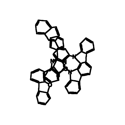 c1ccc(-c2nc(-c3cccc4c3oc3ccccc34)nc(-n3c4ccccc4c4ccc5c6ccccc6n(-c6cc(-c7ccc8ccccc8c7)cc7c6oc6ccccc67)c5c43)n2)cc1